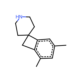 Cc1cc(C)c2c(c1)C1(CCNCC1)C2